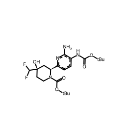 CC(C)(C)OC(=O)Nc1ccc([C@@H]2C[C@@](O)(C(F)F)CCN2C(=O)OC(C)(C)C)nc1N